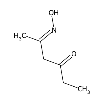 CCC(=O)CC(C)=NO